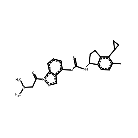 CN(C)CC(=O)n1ncc2c(NC(=O)N[C@@H]3CCc4c3ccc(F)c4C3CC3)cccc21